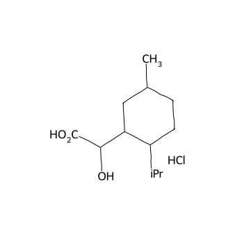 CC1CCC(C(C)C)C(C(O)C(=O)O)C1.Cl